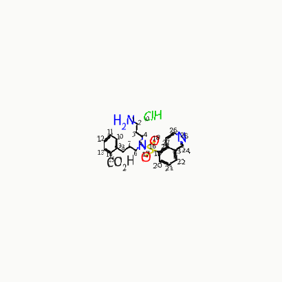 Cl.NCCCN(CCCc1ccccc1C(=O)O)S(=O)(=O)c1cccc2cnccc12